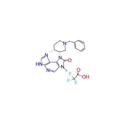 C[C@@H]1CCN(Cc2ccccc2)C[C@@H]1n1c(=O)n(C)c2cnc3[nH]cnc3c21.O=C(O)C(F)(F)F